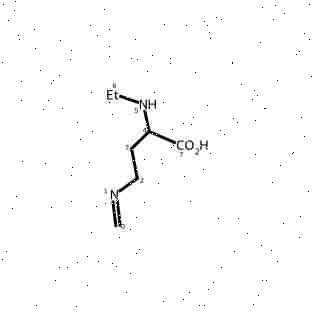 C=NCCC(NCC)C(=O)O